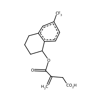 C=C(CC(=O)O)C(=O)OC1CCCc2cc(C(F)(F)F)ccc21